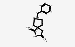 O=C1CC2(CCN(Cc3ccccc3)CC2)C(=O)O1